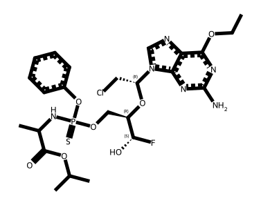 CCOc1nc(N)nc2c1ncn2[C@@H](CCl)O[C@H](COP(=S)(NC(C)C(=O)OC(C)C)Oc1ccccc1)[C@@H](O)F